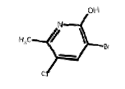 Cc1nc(O)c(Br)cc1Cl